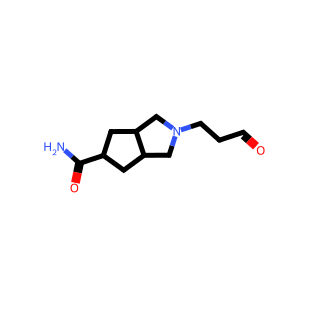 NC(=O)C1CC2CN(CCC=O)CC2C1